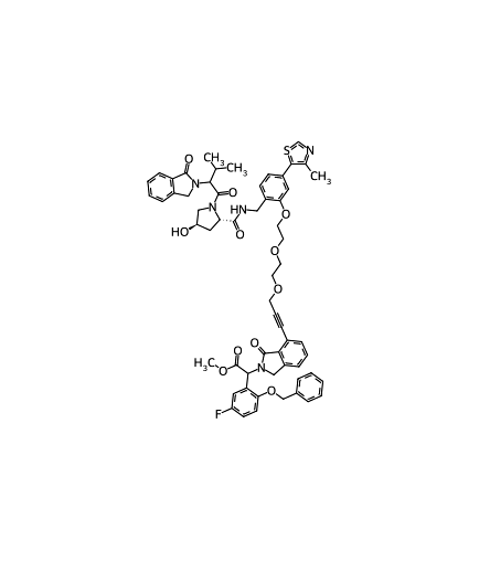 COC(=O)C(c1cc(F)ccc1OCc1ccccc1)N1Cc2cccc(C#CCOCCOCCOc3cc(-c4scnc4C)ccc3CNC(=O)[C@@H]3C[C@@H](O)CN3C(=O)C(C(C)C)N3Cc4ccccc4C3=O)c2C1=O